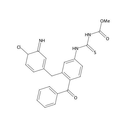 COC(=O)NC(=S)Nc1ccc(C(=O)c2ccccc2)c(CC2=CC(=N)C(Cl)C=C2)c1